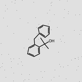 CC(C)(O)c1ccccc1Cc1ccccc1